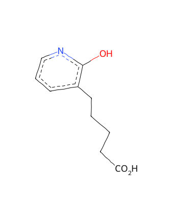 O=C(O)CCCCc1cccnc1O